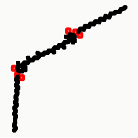 CCCCCCCCC/C=C/C=C/C=C/C=C/C=C/C(=O)OC1CC(C)(C)C(/C=C/C(C)=C/C=C/C(C)=C/C=C/C=C(C)/C=C/C=C(C)/C=C/C2=C(C)C(=O)C(OC(=O)/C=C/C=C/C=C/C=C/C=C/CCCCCCCCC)CC2(C)C)=C(C)C1=O